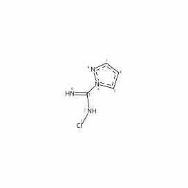 N=C(NCl)n1cccn1